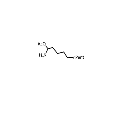 CCCCCCCCCC(N)OC(C)=O